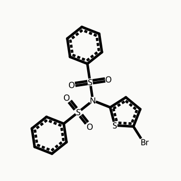 O=S(=O)(c1ccccc1)N(c1ccc(Br)s1)S(=O)(=O)c1ccccc1